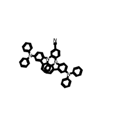 N#Cc1ccc(-n2c3ccccc3c3cc(N(c4ccccc4)c4ccccc4)ccc32)c(-n2c3ccccc3c3cc(N(c4ccccc4)c4ccccc4)ccc32)c1